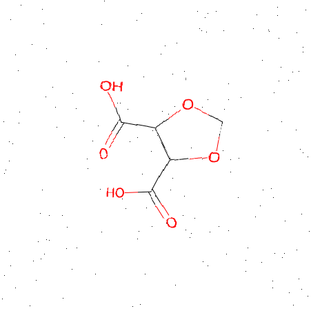 O=C(O)C1OCOC1C(=O)O